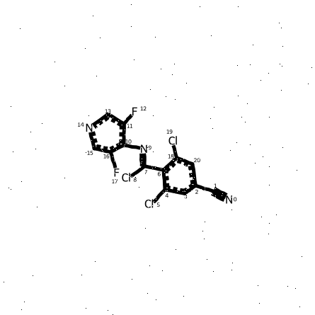 N#Cc1cc(Cl)c(C(Cl)=Nc2c(F)cncc2F)c(Cl)c1